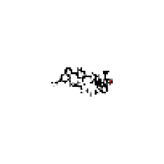 C[C@H](C#N)Nc1cc(-c2ccc3cc(C#N)cnn23)ncc1-c1nnc(N2C[C@H]3CC[C@@H](C2)[C@@H]3NC(=O)C2CC2)s1